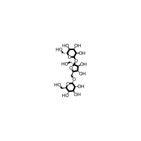 OC[C@H]1O[C@H](OC[C@H]2O[C@@](CO)(OC3O[C@H](CO)[C@@H](O)[C@H](O)[C@H]3O)[C@@H](O)[C@@H]2O)[C@H](O)[C@@H](O)[C@@H]1O